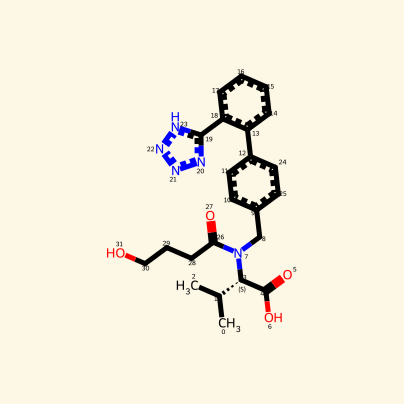 CC(C)[C@@H](C(=O)O)N(Cc1ccc(-c2ccccc2-c2nnn[nH]2)cc1)C(=O)CCCO